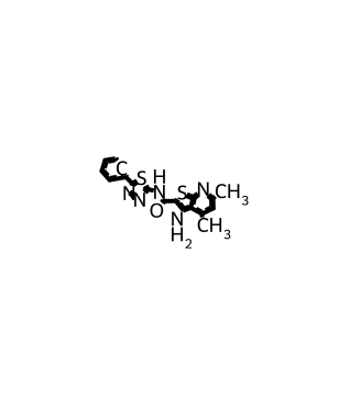 Cc1cc(C)c2c(N)c(C(=O)Nc3nnc(-c4ccccc4)s3)sc2n1